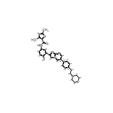 Cc1nc(C)c(C(=O)Nc2ccc(F)c(-c3cn4cc(-c5ccc(CCN6CCOCC6)cc5)cnc4n3)c2)o1